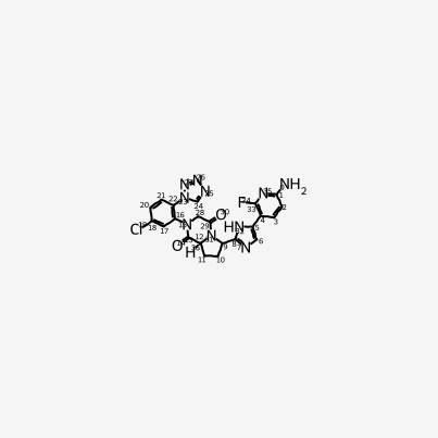 Nc1ccc(-c2cnc(C3CC[C@@H]4C(=O)N(c5cc(Cl)ccc5-n5cnnn5)CC(=O)N34)[nH]2)c(F)n1